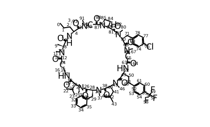 CC[C@H](C)[C@@H]1NC(=O)[C@H](C)N(C)C(=O)C[C@@H](C)NC(=O)[C@H](C(C)C)N(C)C(=O)[C@H](Cc2ccccc2)N(C)C(=O)[C@H](CC(C)C)N(C)C(=O)[C@H](CCc2ccc(C(F)(F)F)cc2)NC(=O)CN(C)C(=O)[C@H](Cc2ccc(Cl)cc2)N(C)C(=O)[C@@H]2CCN2C(=O)CN(C)C1=O